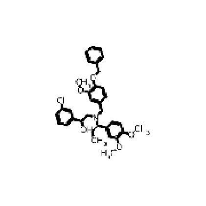 C[CH][C@H](c1ccc(OC)c(OC)c1)N(Cc1ccc(OCc2ccccc2)c(OC)c1)CC(O)c1cccc(Cl)c1